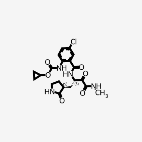 CNC(=O)C(=O)[C@H](C[C@@H]1CCNC1=O)NC(=O)c1cc(Cl)ccc1NC(=O)OC1CC1